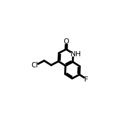 O=c1cc(CCCl)c2ccc(F)cc2[nH]1